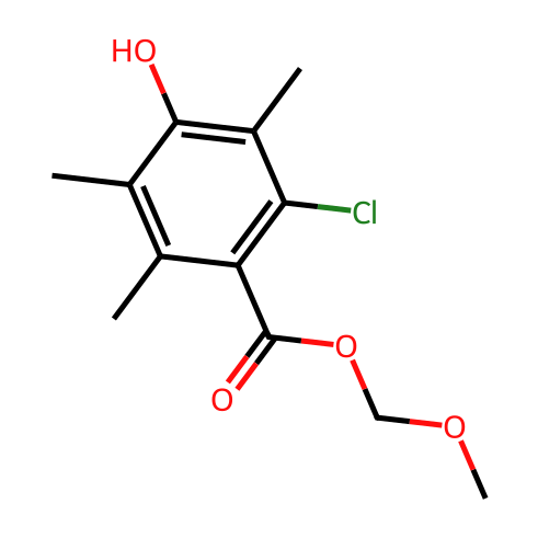 COCOC(=O)c1c(C)c(C)c(O)c(C)c1Cl